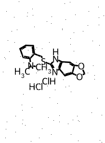 CN(C)c1ccccc1CSc1nc2cc3c(cc2[nH]1)OCO3.Cl.Cl